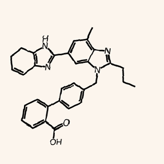 CCCc1nc2c(C)cc(-c3nc4c([nH]3)CCC=C4)cc2n1Cc1ccc(-c2ccccc2C(=O)O)cc1